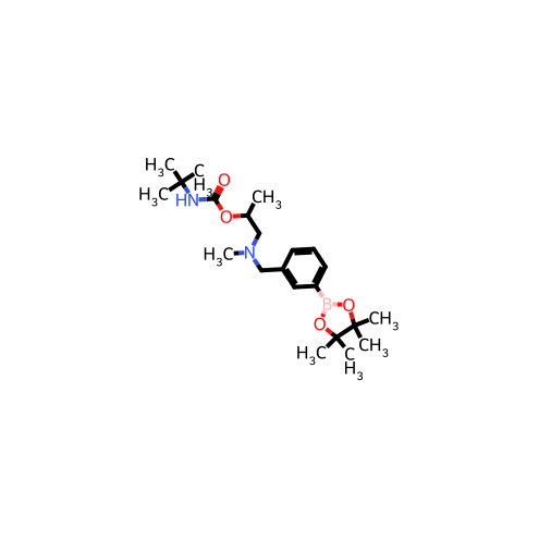 CC(CN(C)Cc1cccc(B2OC(C)(C)C(C)(C)O2)c1)OC(=O)NC(C)(C)C